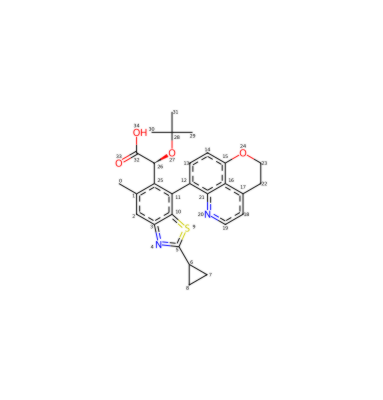 Cc1cc2nc(C3CC3)sc2c(-c2ccc3c4c(ccnc24)CCO3)c1[C@H](OC(C)(C)C)C(=O)O